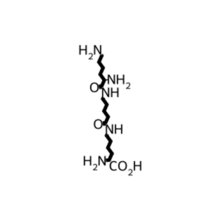 NCCCC[C@H](N)C(=O)NCCCCC(=O)NCCCC[C@H](N)C(=O)O